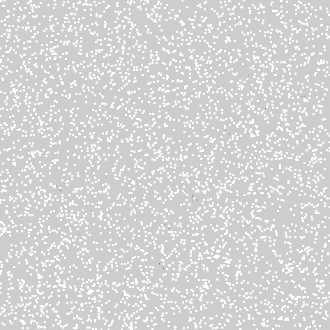 CC(C)(C)OC(=O)N1CCC(N2Cc3cnc(COC(=O)CN4CCCC4=O)n3C2=O)CC1